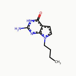 CCCCn1ccc2c(=O)[nH]c(N)nc21